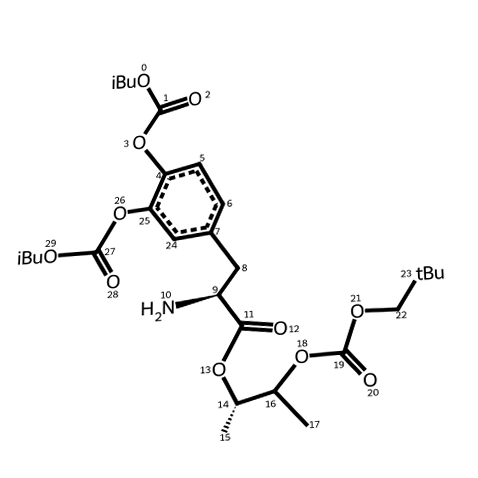 CC(C)COC(=O)Oc1ccc(C[C@H](N)C(=O)O[C@@H](C)C(C)OC(=O)OCC(C)(C)C)cc1OC(=O)OCC(C)C